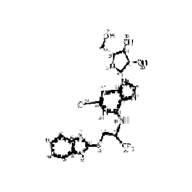 OC[C@H]1O[C@@H](n2cnc3c(NC(CSc4nc5ccccc5s4)C(F)(F)F)nc(Cl)nc32)[C@H](O)[C@@H]1O